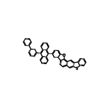 C1=CC(c2ccccc2)CC(c2c3ccccc3c(C3=CC=C4Oc5c(ccc6cc7sc8ccccc8c7cc56)C4C3)c3ccccc23)=C1